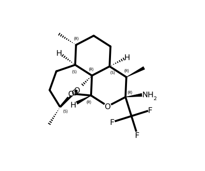 C[C@@H]1CC[C@H]2[C@@H](C)[C@](N)(C(F)(F)F)O[C@@H]3O[C@]4(C)CC[C@@H]1[C@]32OO4